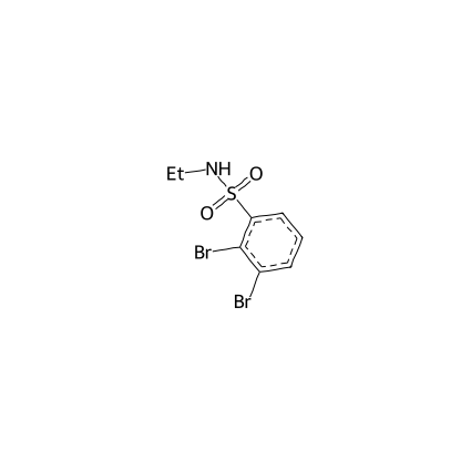 CCNS(=O)(=O)c1cccc(Br)c1Br